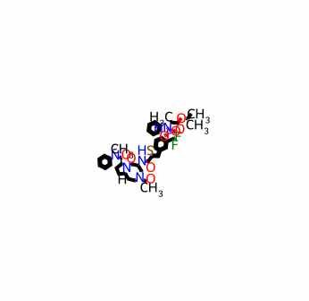 CC(=O)N1CC[C@H]2CC[C@@H](C(=O)N(C)c3ccccc3)N2C(=O)C(NC(=O)c2cc3cc(C(F)(F)P(=O)(N[C@H](C)C(=O)OC(C)C)Oc4ccccc4)ccc3s2)C1